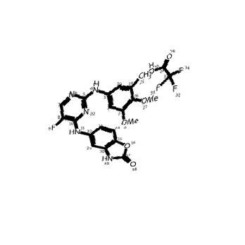 COc1cc(Nc2ncc(F)c(Nc3ccc4oc(=O)[nH]c4c3)n2)cc(C)c1OC.O=C(O)C(F)(F)F